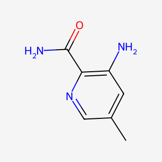 Cc1cnc(C(N)=O)c(N)c1